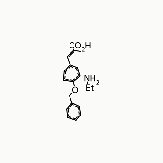 CC(=Cc1ccc(OCc2ccccc2)cc1)C(=O)O.CCN